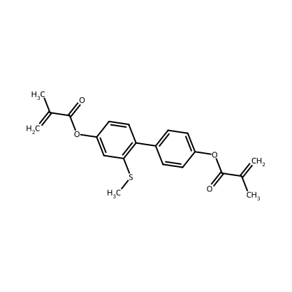 C=C(C)C(=O)Oc1ccc(-c2ccc(OC(=O)C(=C)C)cc2SC)cc1